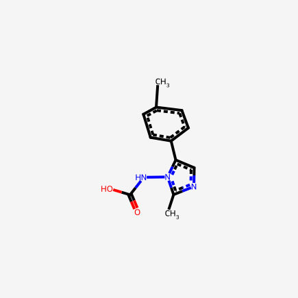 Cc1ccc(-c2cnc(C)n2NC(=O)O)cc1